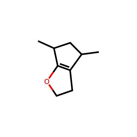 CC1CC(C)C2=C1CCO2